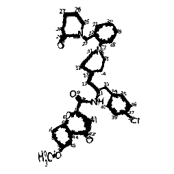 COc1ccc2oc(C(=O)N[C@@H](C=C3CCN(c4ccccc4CN4CCCCC4=O)CC3)Cc3ccc(Cl)cc3)cc(=O)c2c1